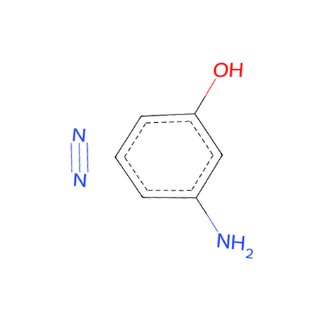 N#N.Nc1cccc(O)c1